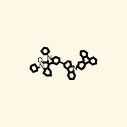 O=c1c2c(c3ccccc3n1-c1ccccc1)c1cc(-c3ccc4c(c3)c3ccccc3n4-c3ccc4c5ccccc5c5ccccc5c4c3)ccc1n2-c1ccccc1